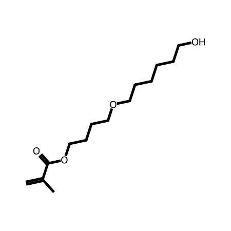 C=C(C)C(=O)OCCCCOCCCCCCO